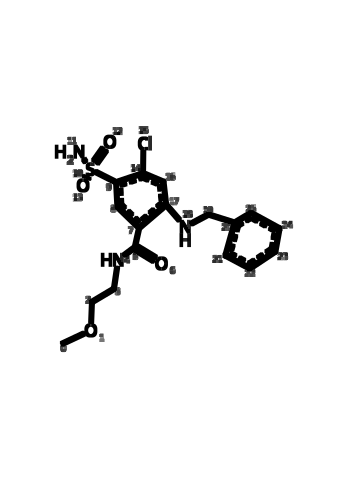 COCCNC(=O)c1cc(S(N)(=O)=O)c(Cl)cc1NCc1ccccc1